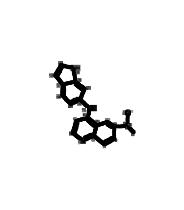 C[S+]([O-])c1ccc2nccc(Nc3ccc4cc[nH]c4c3)c2c1